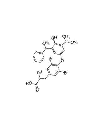 CC(C)c1cc(Oc2c(Br)cc(CC(O)C(=O)O)cc2Br)cc(C(C)c2ccccc2)c1O